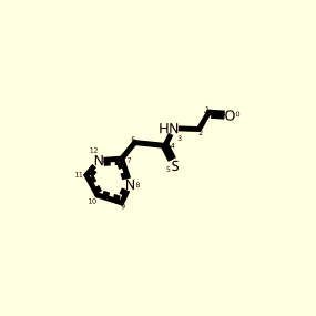 O=[C]CNC(=S)Cc1ncccn1